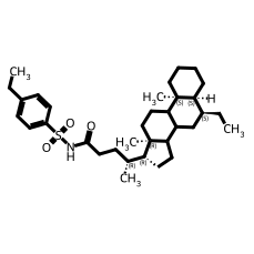 CCc1ccc(S(=O)(=O)NC(=O)CC[C@@H](C)[C@H]2CCC3C4C[C@H](CC)[C@@H]5CCCC[C@]5(C)C4CC[C@@]32C)cc1